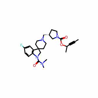 CC#CC(C)OC(=O)N1CC[C@@H](CN2CCC3(CC2)CN(C(=O)N(C)C)c2ccc(F)cc23)C1